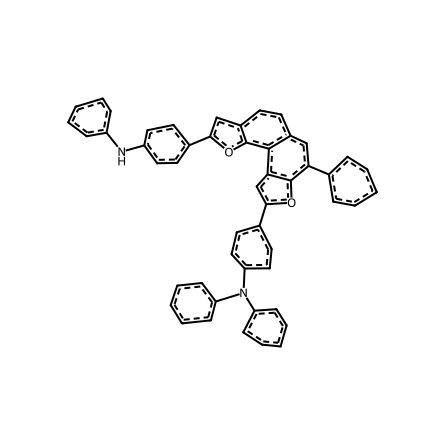 c1ccc(Nc2ccc(-c3cc4ccc5cc(-c6ccccc6)c6oc(-c7ccc(N(c8ccccc8)c8ccccc8)cc7)cc6c5c4o3)cc2)cc1